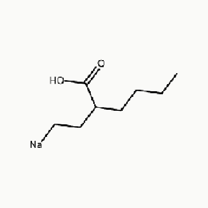 CCCCC(C[CH2][Na])C(=O)O